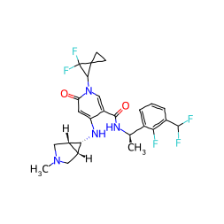 C[C@@H](NC(=O)c1cn(C2C(F)(F)C23CC3)c(=O)cc1N[C@@H]1[C@@H]2CN(C)C[C@@H]21)c1cccc(C(F)F)c1F